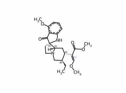 CC[C@H]1CN2CC[C@]3(Nc4cccc(OC)c4C3=O)[C@@H]2C[C@@H]1/C(=C\OC)C(=O)OC